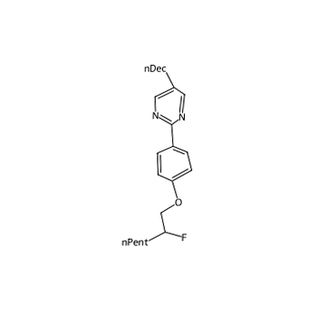 CCCCCCCCCCc1cnc(-c2ccc(OCC(F)CCCCC)cc2)nc1